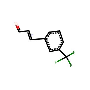 O=C/C=C/c1cccc(C(F)(F)F)c1